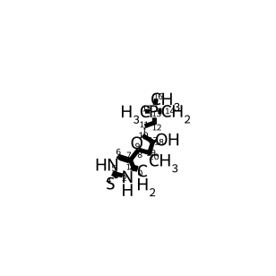 C=C1NC(=S)NC=C1C1O[C@H](CCP(=C)(C)C)[C@@H](O)[C@H]1C